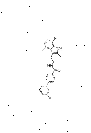 Cc1[nH]c2c(F)ccc(C)c2c1CCNC(=O)c1ccc(-c2cccc(F)c2)cc1